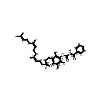 CC(C)=CCCC(C)=CCCC(C)=CCC[C@]1(C)CCc2c(C)c(OC(=O)NC(=O)c3ccccc3)c(C)c(C)c2O1